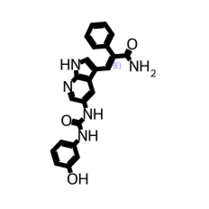 NC(=O)/C(=C/c1c[nH]c2ncc(NC(=O)Nc3cccc(O)c3)cc12)c1ccccc1